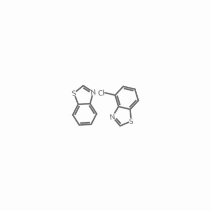 Clc1cccc2scnc12.c1ccc2scnc2c1